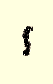 N#Cc1ccc(-c2nc(COc3ccc(CCCn4ccnc4)cc3)co2)cc1